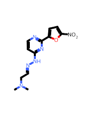 CN(C)CC=NNc1ccnc(-c2ccc([N+](=O)[O-])o2)n1